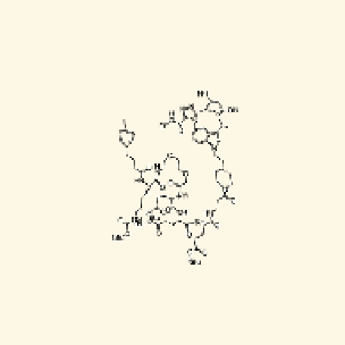 CCNC(=O)c1nnc2n1-c1ccc3c(c1)c(cn3CCC1CCN(C(=O)CCNC(=O)[C@@H](CCC(=O)OC(C)(C)C)NC(=O)[C@@H](CCC(=O)OC(C)(C)C)NC(=O)[C@@H](CCC(=O)OC(C)(C)C)NC(=O)COCCOCCNC(=O)[C@H](CCCCNC(=O)OC(C)(C)C)NC(=O)CCCc3ccc(I)cc3)CC1)C(C)c1cc-2c(O)cc1O